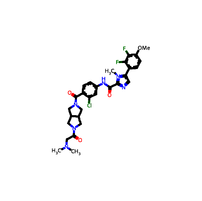 COc1ccc(-c2cnc(C(=O)Nc3ccc(C(=O)N4CC5CN(C(=O)CN(C)C)CC5C4)c(Cl)c3)n2C)c(F)c1F